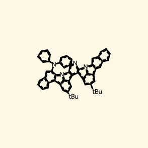 CC(C)(C)c1cc2c3cc4ccccc4cc3n3c4ncc5c(c6cc(C(C)(C)C)cc7c8c9ccccc9cc(N(c9ccccc9)c9ccccc9)c8n5c67)c4c(c1)c23